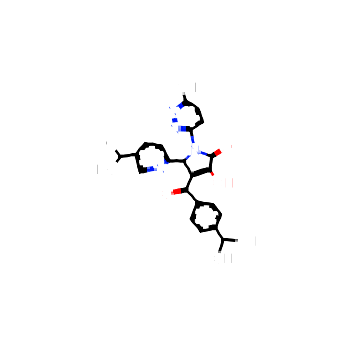 Cc1ccc(N2C(=O)C(O)=C(C(=O)c3ccc(C(C)C)cc3)C2c2ccc(C(C)C)cn2)nn1